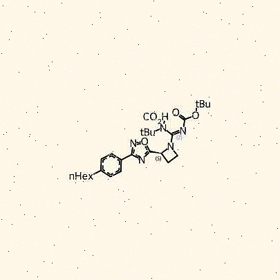 CCCCCCc1ccc(-c2noc([C@@H]3CCN3/C(=N/C(=O)OC(C)(C)C)N(C(=O)O)C(C)(C)C)n2)cc1